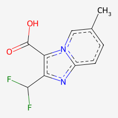 Cc1ccc2nc(C(F)F)c(C(=O)O)n2c1